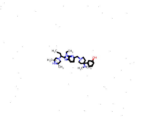 CCCC(c1nc2ccc(CN3CCC(c4cccc(O)c4)(N(C)C)CC3)nc2n1CC)N1C[C@@H](C)N[C@@H](C)C1